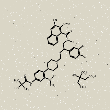 COc1c(C#N)cc2ccccc2c1C(=O)N(C)CC(CCN1CCC(c2ccc(NC(=O)C(C)(C)O)cc2[S+](C)[O-])CC1)c1ccc(Cl)c(Cl)c1.O=C(O)CC(O)(CC(=O)O)C(=O)O